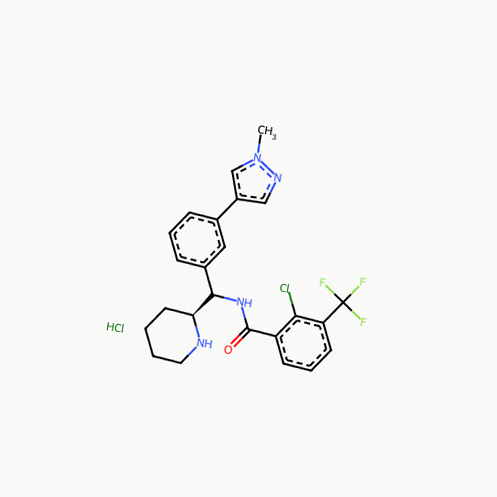 Cl.Cn1cc(-c2cccc(C(NC(=O)c3cccc(C(F)(F)F)c3Cl)[C@@H]3CCCCN3)c2)cn1